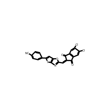 N#Cc1ccc(-c2cc3oc(C=C4C(=O)c5cc(Cl)c(Cl)cc5C4=O)nc3s2)cc1